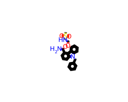 CS(=O)(=O)NCOc1cccc2c1c1c(C(N)=O)cccc1n2Cc1ccccc1